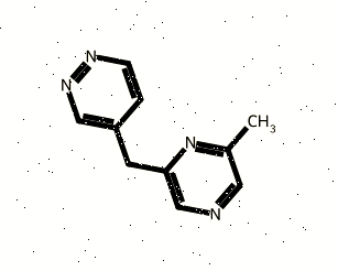 Cc1cncc(Cc2ccnnc2)n1